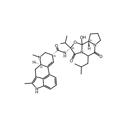 Cc1[nH]c2cccc3c2c1C[C@@H]1C3=C[C@@H](C(=O)N[C@]2(C(C)C)OC3(O)[C@@H]4CCCN4C(=O)C(CC(C)C)N3C2=O)CN1C